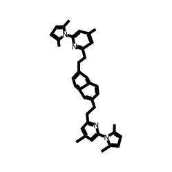 Cc1cc(CCc2ccc3cc(CCc4cc(C)cc(-n5c(C)ccc5C)n4)ccc3c2)nc(-n2c(C)ccc2C)c1